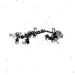 Cc1ncsc1-c1ccc([C@H](C)NC(=O)[C@@H]2C[C@@H](O)CN2C(=O)[C@@H](NCCCCCCCCN2CCC(N3CCC(CNc4ccc(S(=O)(=O)NC(=O)c5ccc(N6CCN(CC7=C(c8ccc(Cl)cc8)CC(C)(C)CC7)CC6)cc5Oc5cnc6[nH]ccc6c5)cc4[N+](=O)[O-])CC3)CC2)C(C)(C)C)cc1